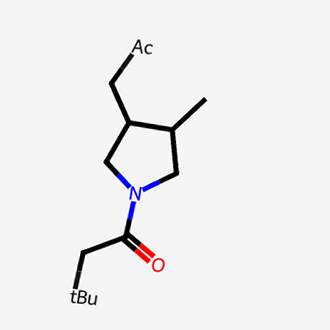 CC(=O)CC1CN(C(=O)CC(C)(C)C)CC1C